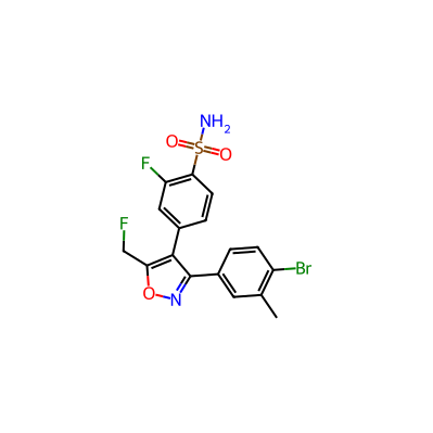 Cc1cc(-c2noc(CF)c2-c2ccc(S(N)(=O)=O)c(F)c2)ccc1Br